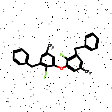 Fc1c(Cc2ccccc2)cc(C(F)(F)F)cc1Oc1cc(C(F)(F)F)cc(Cc2ccccc2)c1F